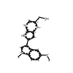 COc1ccc2c(c1)c(-c1cc3nc(CO)cnc3[nH]1)cn2C